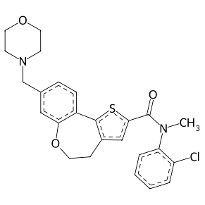 CN(C(=O)c1cc2c(s1)-c1ccc(CN3CCOCC3)cc1OCC2)c1ccccc1Cl